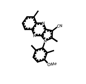 COc1ccc(C)c(-n2c(C)c(C#N)c3nc4c(C)cccc4nc32)c1C